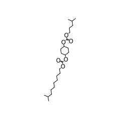 CC(C)CCCCCCCCOC(=O)OC1CCC(OC(=O)OCCCC(C)C)CC1